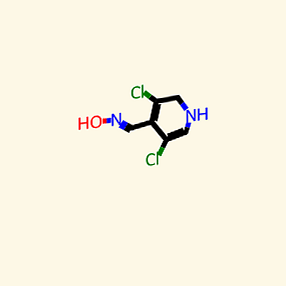 O/N=C/C1=C(Cl)CNC=C1Cl